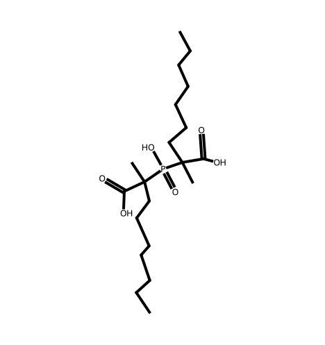 CCCCCCCC(C)(C(=O)O)P(=O)(O)C(C)(CCCCCCC)C(=O)O